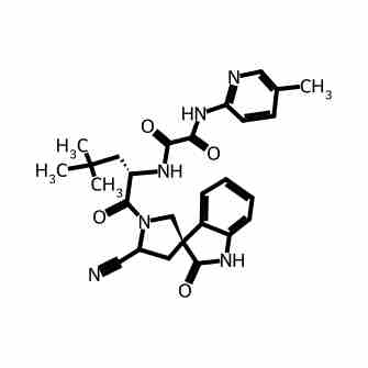 Cc1ccc(NC(=O)C(=O)N[C@@H](CC(C)(C)C)C(=O)N2C[C@]3(CC2C#N)C(=O)Nc2ccccc23)nc1